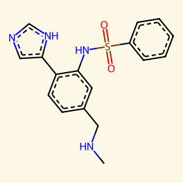 CNCc1ccc(-c2cnc[nH]2)c(NS(=O)(=O)c2ccccc2)c1